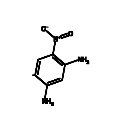 Nc1[c]cc([N+](=O)[O-])c(N)c1